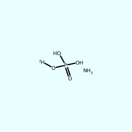 N.[2H]OP(=O)(O)O